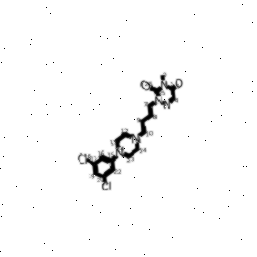 Cn1c(=O)cnn(CCCCN2CCN(c3cc(Cl)cc(Cl)c3)CC2)c1=O